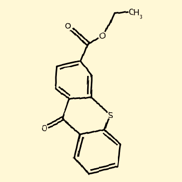 CCOC(=O)c1ccc2c(=O)c3ccccc3sc2c1